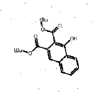 CC(C)(C)OC(=O)c1cc2ccccc2c(O)c1C(=O)OC(C)(C)C